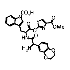 COC(=O)c1csc(OC(=O)C(Cc2cn(C(=O)O)c3ccccc23)NC(=O)C(N)c2ccc3c(c2)OCCO3)n1